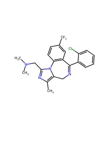 Cc1nc(CN(C)C)n2c1CN=C(c1ccccc1Cl)c1cc(C(F)(F)F)ccc1-2